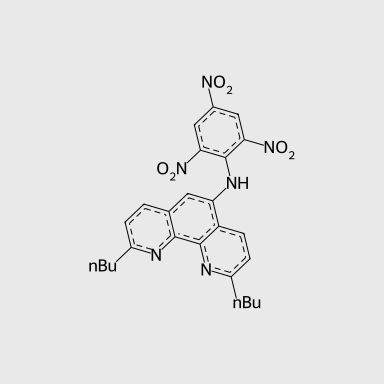 CCCCc1ccc2cc(Nc3c([N+](=O)[O-])cc([N+](=O)[O-])cc3[N+](=O)[O-])c3ccc(CCCC)nc3c2n1